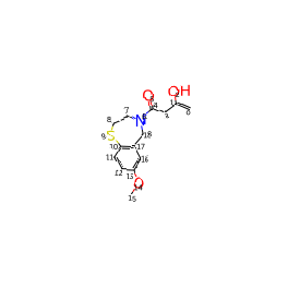 C=C(O)CC(=O)N1CCSc2ccc(OC)cc2C1